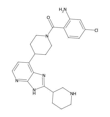 Nc1cc(Cl)ccc1C(=O)N1CCC(c2ccnc3[nH]c(C4CCCNC4)nc23)CC1